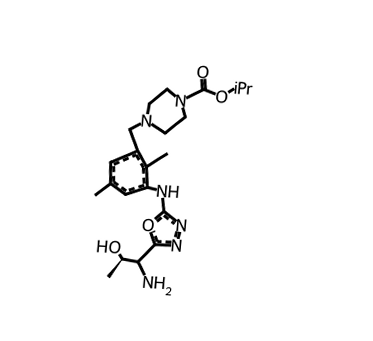 Cc1cc(CN2CCN(C(=O)OC(C)C)CC2)c(C)c(Nc2nnc(C(N)[C@@H](C)O)o2)c1